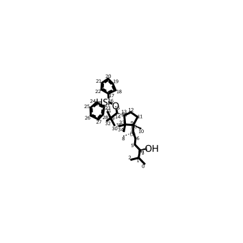 CC(C)[C@H](O)CC[C@H](C)[C@@]1(C)CC[C@@H](C(O[SiH](c2ccccc2)c2ccccc2)C(C)(C)C)C1(C)C